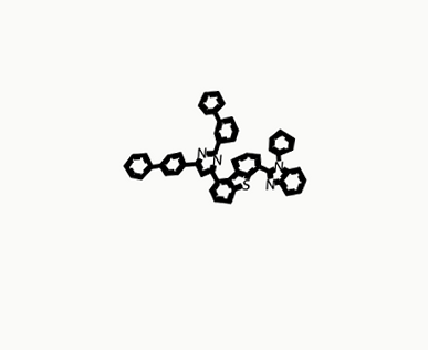 c1ccc(-c2ccc(-c3cc(-c4cccc5sc6c(-c7nc8ccccc8n7-c7ccccc7)cccc6c45)nc(-c4cccc(-c5ccccc5)c4)n3)cc2)cc1